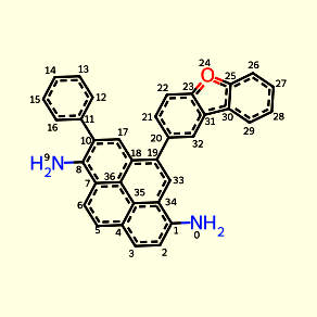 Nc1ccc2ccc3c(N)c(-c4ccccc4)cc4c(-c5ccc6oc7ccccc7c6c5)cc1c2c43